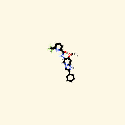 COc1cc2nc(C3CCCCC3)cn2cc1NC(=O)c1cccc(C(F)(F)F)n1